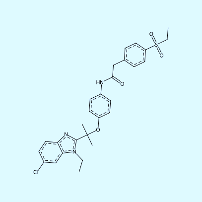 CCn1c(C(C)(C)Oc2ccc(NC(=O)Cc3ccc(S(=O)(=O)CC)cc3)cc2)nc2ccc(Cl)cc21